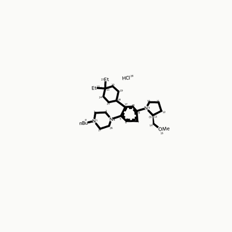 CCCCN1CCN(c2ccc(N3CCC[C@H]3COC)cc2C2CCC(CC)(CC)CC2)CC1.Cl